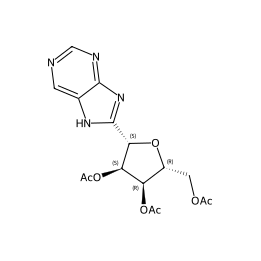 CC(=O)OC[C@H]1O[C@@H](c2nc3ncncc3[nH]2)[C@H](OC(C)=O)[C@@H]1OC(C)=O